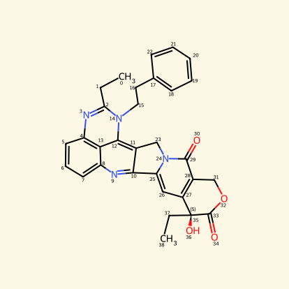 CCC1=Nc2cccc3nc4c(c(c23)N1CCc1ccccc1)Cn1c-4cc2c(c1=O)COC(=O)[C@]2(O)CC